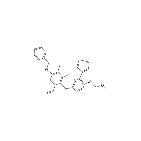 C=Cc1cc(OCc2ccccc2)c(F)c(C)c1Cc1ccc(OCOC)c(-c2ccccc2)n1